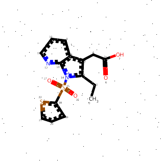 CCc1c(CC(=O)O)c2cccnc2n1S(=O)(=O)c1cccs1